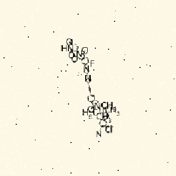 CC1(C)[C@H](Oc2ccc(C#N)c(Cl)c2)C(C)(C)[C@H]1N1Cc2cc(C#CC3CN(C4CN(c5cc6c(cc5F)C(=O)N(C5CCC(=O)NC5=O)C6=O)C4)C3)ccc2C1=O